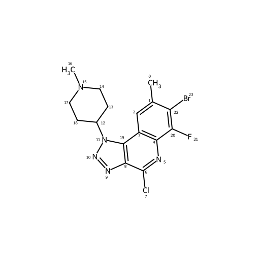 Cc1cc2c(nc(Cl)c3nnn(C4CCN(C)CC4)c32)c(F)c1Br